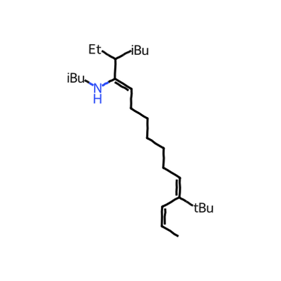 C/C=C\C(=C/CCCCC/C=C(\NC(C)CC)C(CC)C(C)CC)C(C)(C)C